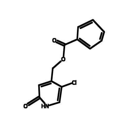 O=C(OCc1cc(=O)[nH]cc1Cl)c1ccccc1